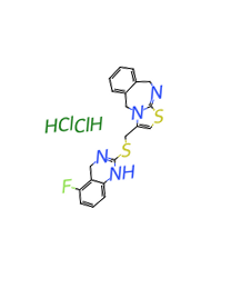 Cl.Cl.Fc1cccc2c1CN=C(SCC1=CSC3=NCc4ccccc4CN13)N2